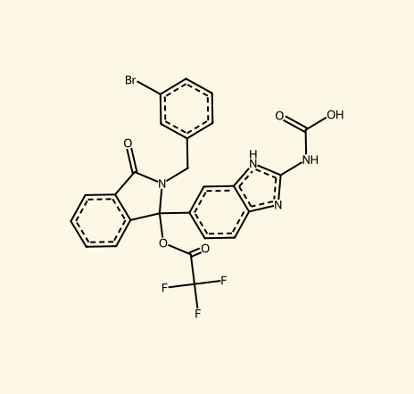 O=C(O)Nc1nc2ccc(C3(OC(=O)C(F)(F)F)c4ccccc4C(=O)N3Cc3cccc(Br)c3)cc2[nH]1